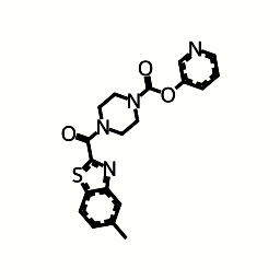 Cc1ccc2sc(C(=O)N3CCN(C(=O)Oc4cccnc4)CC3)nc2c1